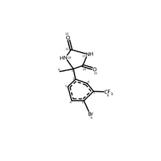 CC1(c2ccc(Br)c(C(F)(F)F)c2)NC(=O)NC1=O